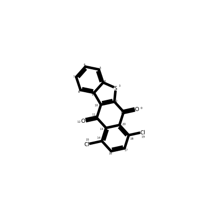 O=C1c2sc3ccccc3c2C(=O)c2c(Cl)ccc(Cl)c21